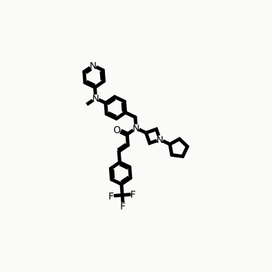 CN(c1ccncc1)c1ccc(CN(C(=O)/C=C/c2ccc(C(F)(F)F)cc2)C2CN(C3CCCC3)C2)cc1